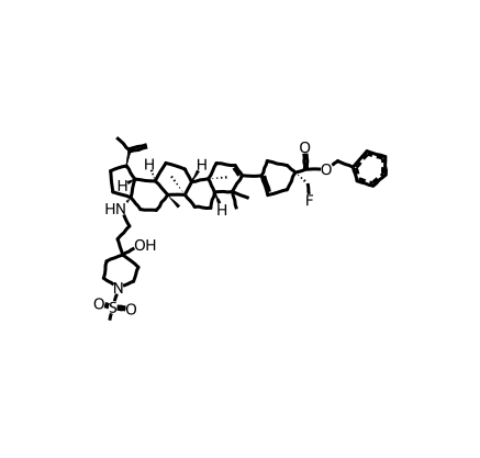 C=C(C)[C@@H]1CC[C@]2(NCCC3(O)CCN(S(C)(=O)=O)CC3)CC[C@]3(C)[C@H](CC[C@@H]4[C@@]5(C)CC=C(C6=CC[C@](CF)(C(=O)OCc7ccccc7)CC6)C(C)(C)[C@@H]5CC[C@]43C)[C@@H]12